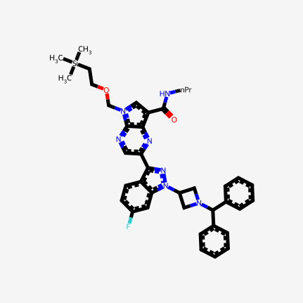 CCCNC(=O)c1cn(COCC[Si](C)(C)C)c2ncc(-c3nn(C4CN(C(c5ccccc5)c5ccccc5)C4)c4cc(F)ccc34)nc12